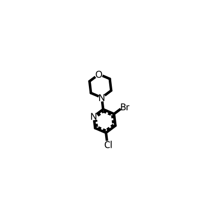 Clc1cnc(N2CCOCC2)c(Br)c1